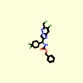 O=C(N[C@H](c1cn2nc(CCl)c(Cl)cc2n1)C1CCC(F)(F)CC1)OCc1ccccc1